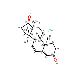 C[C@]12C[C@H](F)[C@H]3[C@@H](C=CC4=CC(=O)CC[C@@H]43)[C@@H]1CCC2=O